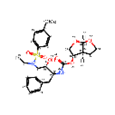 COc1ccc(S(=O)(=O)N(CC(C)C)C[C@@H](O)[C@H](Cc2ccccc2)NC(=O)O[C@H]2CO[C@H]3OCC[C@H]32)cc1